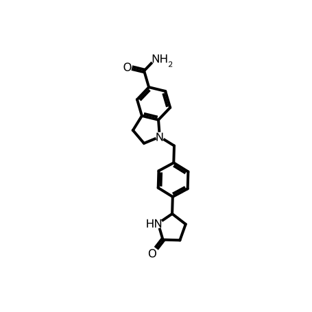 NC(=O)c1ccc2c(c1)CCN2Cc1ccc(C2CCC(=O)N2)cc1